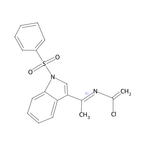 C=C(Cl)/N=C(\C)c1cn(S(=O)(=O)c2ccccc2)c2ccccc12